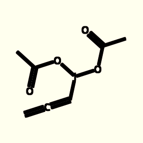 C=C=CI(OC(C)=O)OC(C)=O